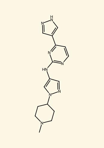 CN1CCC(n2cc(Nc3nccc(-c4cn[nH]c4)n3)cn2)CC1